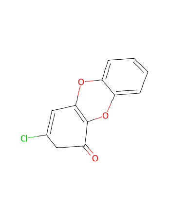 O=C1CC(Cl)=CC2=C1Oc1ccccc1O2